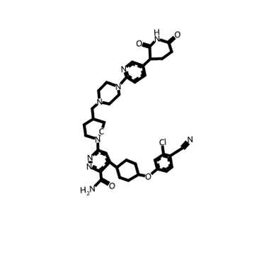 N#Cc1ccc(OC2CCC(c3cc(N4CCC(CN5CCN(c6ccc(C7CCC(=O)NC7=O)cn6)CC5)CC4)nnc3C(N)=O)CC2)cc1Cl